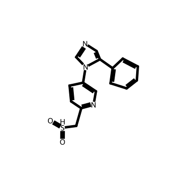 O=[SH](=O)Cc1ccc(-n2cncc2-c2ccccc2)cn1